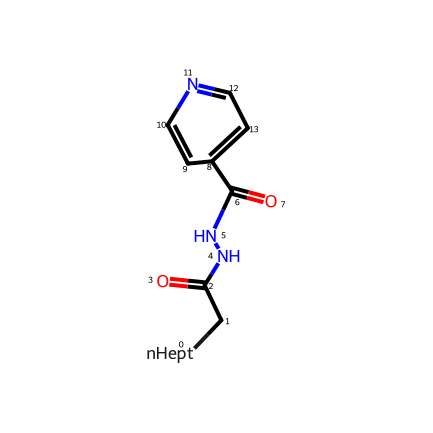 CCCCCCCCC(=O)NNC(=O)c1ccncc1